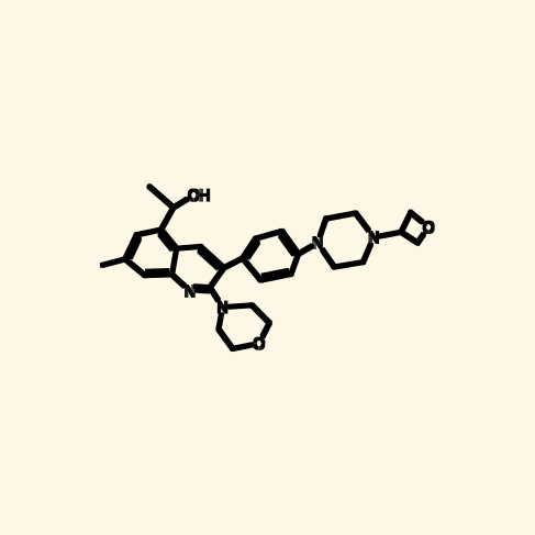 Cc1cc(C(C)O)c2cc(-c3ccc(N4CCN(C5COC5)CC4)cc3)c(N3CCOCC3)nc2c1